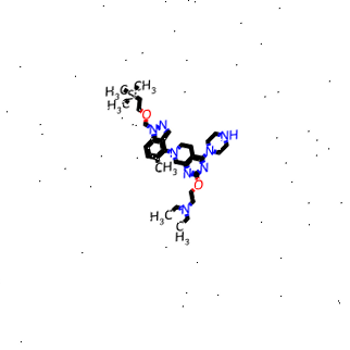 CCN(CC)CCOc1nc2c(c(N3CCNCC3)n1)CCN(c1c(C)ccc3c1cnn3COCC[Si](C)(C)C)C2